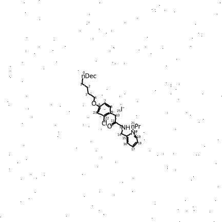 CCCCCCCCCCCCCCOc1ccc(CC(=O)NCc2cccc[n+]2CCC)c(Cl)c1.[I-]